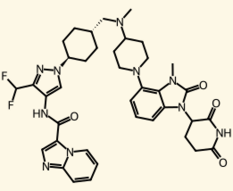 CN(C[C@H]1CC[C@H](n2cc(NC(=O)c3cnc4ccccn34)c(C(F)F)n2)CC1)C1CCN(c2cccc3c2n(C)c(=O)n3C2CCC(=O)NC2=O)CC1